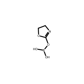 OB(O)OC1=NCCO1